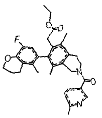 CCOC(=O)Cc1c(C)c2c(c(C)c1-c1cc(F)c3c(c1C)CCCO3)CN(C(=O)c1ccc(C)nc1)CC2